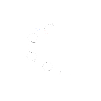 CCOC(=O)C(=O)Nc1ccc(Oc2ccc(Oc3ccc(NC(=O)C(=O)OCC)cc3)cc2)cc1